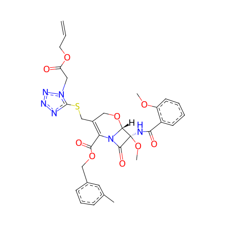 C=CCOC(=O)Cn1nnnc1SCC1=C(C(=O)OCc2cccc(C)c2)N2C(=O)[C@](NC(=O)c3ccccc3OC)(OC)[C@H]2OC1